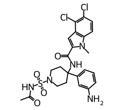 CC(=O)NS(=O)(=O)N1CCC(NC(=O)c2cc3c(Cl)c(Cl)ccc3n2C)(c2cccc(N)c2)CC1